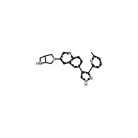 Cc1cccc(-c2n[nH]cc2-c2ccc3ncc(N4CC5CNC5C4)cc3c2)n1